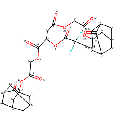 O=C(CC(OC(=O)C(F)(F)S(=O)(=O)O)C(=O)OCC(=O)OC12CC3CC(C1)C(=O)C(C3)C2)OCC(=O)OC12CC3CC(C1)C(=O)C(C3)C2